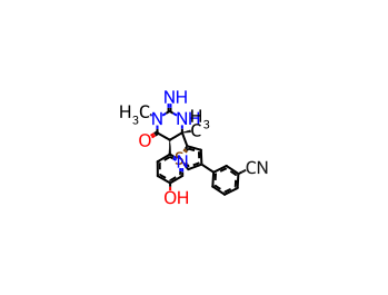 CN1C(=N)N[C@](C)(c2cc(-c3cccc(C#N)c3)cs2)[C@@H](c2ccc(O)cn2)C1=O